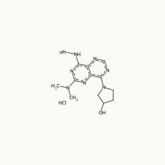 CCCNc1nc(N(C)C)nc2c(N3CCC(O)C3)ncnc12.Cl